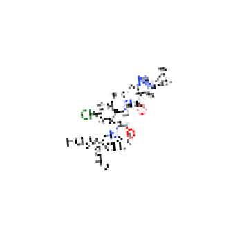 CC(C)(CN1CCOC[C@H]1c1cc(Cl)cc2c1CN(C(=O)c1cnn(C3CC3)c1)CC2)C(=O)O